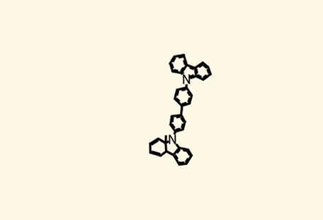 CC12C=CC=CC1c1ccccc1N2c1ccc(-c2ccc(-n3c4ccccc4c4ccccc43)cc2)cc1